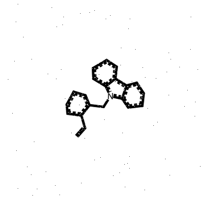 C=Cc1ccccc1Cn1c2ccccc2c2ccccc21